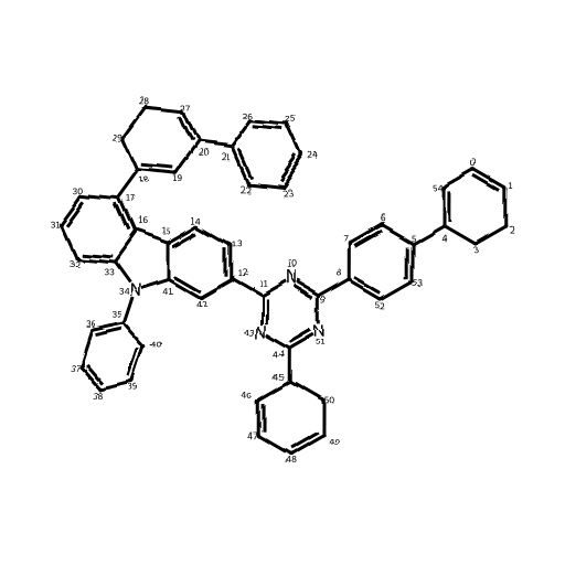 C1=CCCC(c2ccc(-c3nc(-c4ccc5c6c(C7=CC(c8ccccc8)=CCC7)cccc6n(-c6ccccc6)c5c4)nc(C4C=CC=CC4)n3)cc2)=C1